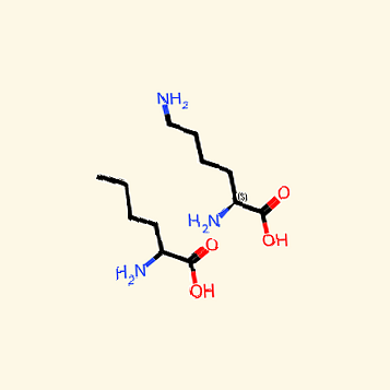 CCCCC(N)C(=O)O.NCCCC[C@H](N)C(=O)O